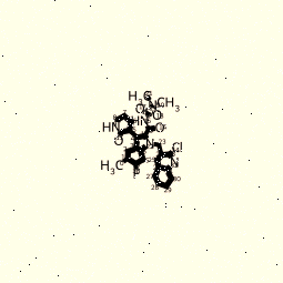 Cc1cc2c(-c3ccc[nH]c3=O)c(C(=O)NS(=O)(=O)N(C)C)n(Cc3cc4ccccc4nc3Cl)c2cc1F